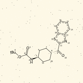 CC(C)(C)OC(=O)N[C@H]1CC[C@H](C(=O)c2nc3ccccc3s2)CC1